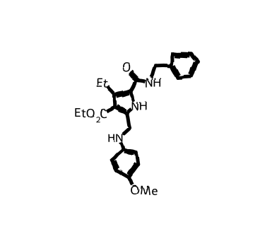 CCOC(=O)c1c(CNc2ccc(OC)cc2)[nH]c(C(=O)NCc2ccccc2)c1CC